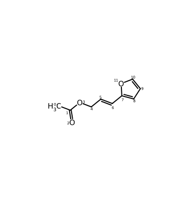 CC(=O)OCC=Cc1ccco1